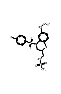 O=C(O)Nc1ccc2c(c1)N(S(=O)(=O)c1ccc(F)cc1)CC(CNS(=O)(=O)C(F)(F)F)O2